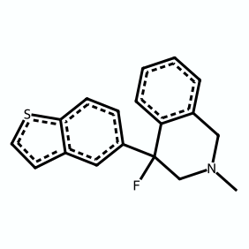 CN1Cc2ccccc2C(F)(c2ccc3sccc3c2)C1